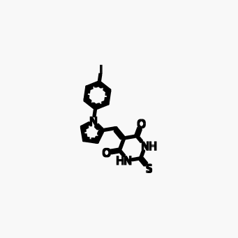 O=C1NC(=S)NC(=O)C1=Cc1cccn1-c1ccc(I)cc1